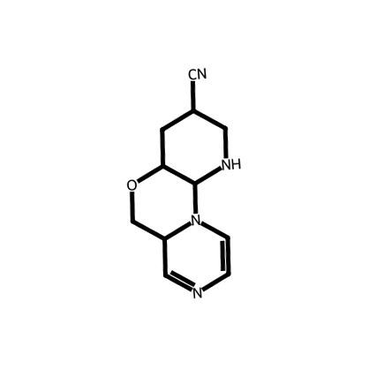 N#CC1CNC2C(C1)OCC1C=NC=CN12